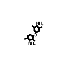 Cc1cc(Oc2ccc(C)c(N)c2C)cc(C)c1N